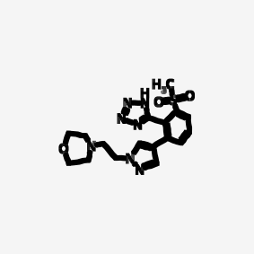 CS(=O)(=O)c1cccc(-c2cnn(CCN3CCOCC3)c2)c1-c1nnn[nH]1